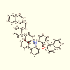 c1ccc(-c2ccccc2N(c2ccc(-c3cccc4c3ccc3ccc5ccccc5c34)cc2)c2cccc3c2oc2ccc4ccccc4c23)cc1